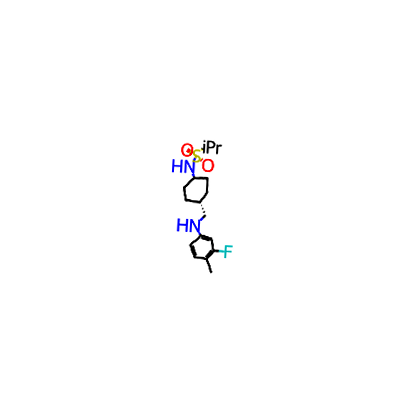 Cc1ccc(NC[C@H]2CC[C@H](NS(=O)(=O)C(C)C)CC2)cc1F